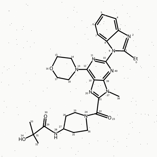 CCc1nc2ccccc2n1-c1nc(N2CCOCC2)c2nc(C(=O)N3CCC(NC(=O)C(C)(C)O)CC3)n(C)c2n1